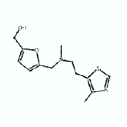 Cc1ncsc1CCN(C)Cc1ccc(CO)o1